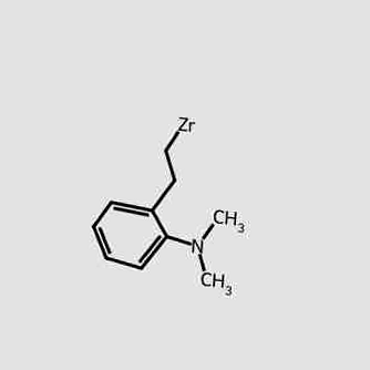 CN(C)c1ccccc1C[CH2][Zr]